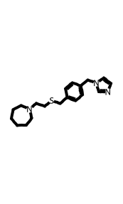 c1cn(Cc2ccc(CSCCN3CCCCCC3)cc2)cn1